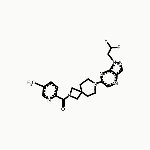 O=C(c1ccc(C(F)(F)F)cn1)N1CC2(CCN(c3cnc4cnn(CC(F)F)c4n3)CC2)C1